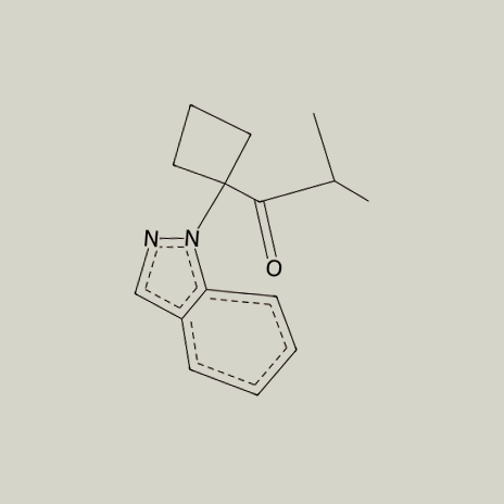 CC(C)C(=O)C1(n2ncc3ccccc32)CCC1